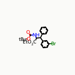 CCOC(=O)C(NC(=O)OC(C)(C)C)C(c1ccccc1)c1cccc(Br)c1